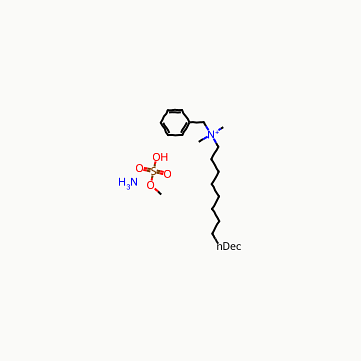 CCCCCCCCCCCCCCCCCC[N+](C)(C)Cc1ccccc1.COS(=O)(=O)O.N